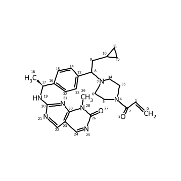 C=CC(=O)N1CCN(C(CC2CC2)c2ccc([C@H](C)Nc3ncc4cnc(=O)n(C)c4n3)cc2)CC1